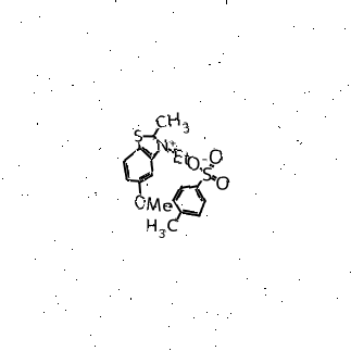 CC[n+]1c(C)sc2ccc(OC)cc21.Cc1ccc(S(=O)(=O)[O-])cc1